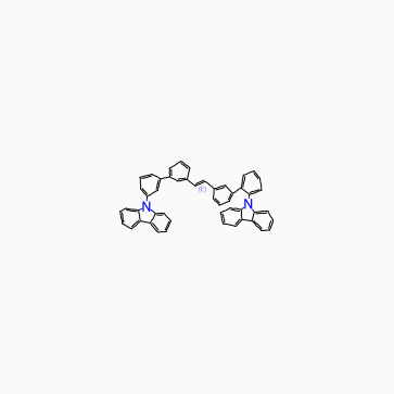 C(=C\c1cccc(-c2ccccc2-n2c3ccccc3c3ccccc32)c1)/c1cccc(-c2cccc(-n3c4ccccc4c4ccccc43)c2)c1